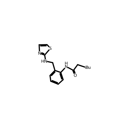 CCC(C)CC(=O)Nc1ccccc1CNc1nccs1